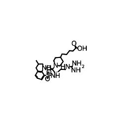 CC1CNc2c(cccc2S(=O)(=O)N[C@@H](CCCNC(=N)N)C(=O)N2CCC(CCCCC(=O)O)CC2)C1